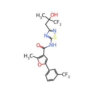 Cc1oc(-c2cccc(C(F)(F)F)c2)cc1C(=O)Nc1nc(CC(C)(O)C(F)(F)F)ns1